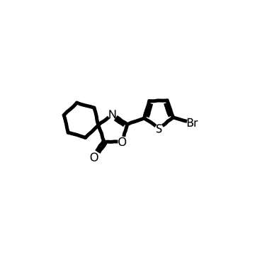 O=C1OC(c2ccc(Br)s2)=NC12CCCCC2